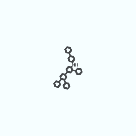 c1ccc(-c2ccc(Nc3ccc(-c4ccc(-c5ccccc5)c(-c5ccccc5)c4)cc3-c3ccccc3)cc2)cc1